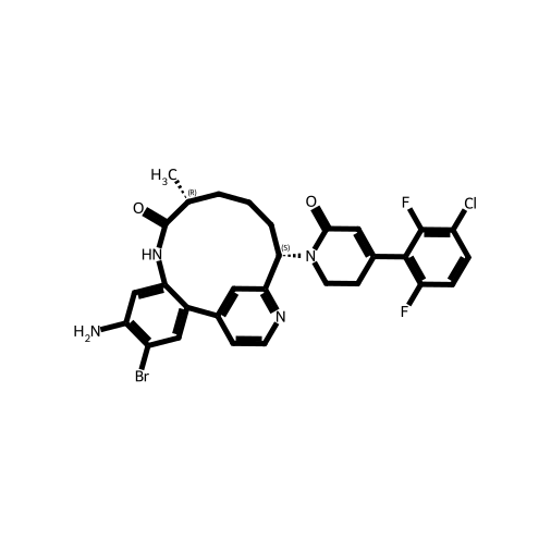 C[C@@H]1CCC[C@H](N2CCC(c3c(F)ccc(Cl)c3F)=CC2=O)c2cc(ccn2)-c2cc(Br)c(N)cc2NC1=O